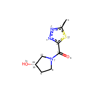 Cc1nnc(C(=O)N2CC[C@H](O)C2)s1